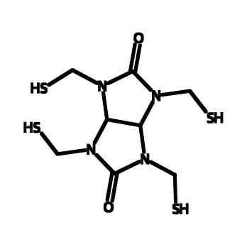 O=C1N(CS)C2C(N1CS)N(CS)C(=O)N2CS